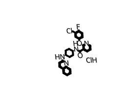 Cl.O=C(N[C@H]1CC[C@@H](Nc2ccc3ccccc3n2)CC1)c1cccnc1Oc1ccc(F)c(Cl)c1